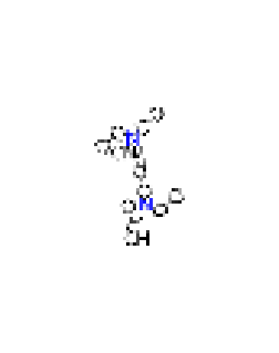 C#C/C=C(\C=C/CN(c1ccc(-c2ccc(C3=CCC(N(c4ccc(-c5ccccc5)cc4)c4cccc(-c5ccccc5C)c4)C=C3)cc2)cc1)c1cccc(-c2ccccc2)c1)c1ccccc1